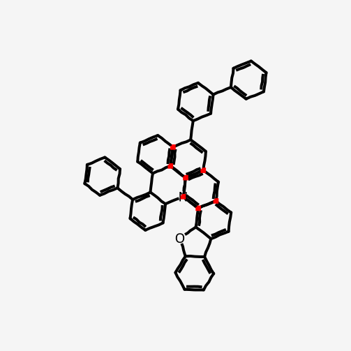 c1ccc(-c2cccc(-c3ccc(N(c4cccc(-c5ccccc5)c4-c4ccccc4-c4ccccc4)c4cccc5c4oc4ccccc45)cc3)c2)cc1